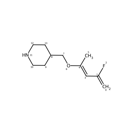 C=C(F)/C=C(\C)OCC1CCNCC1